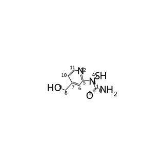 NC(=O)N(S)c1cc(CO)ccn1